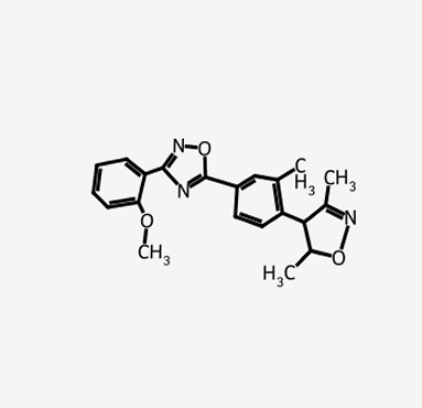 COc1ccccc1-c1noc(-c2ccc(C3C(C)=NOC3C)c(C)c2)n1